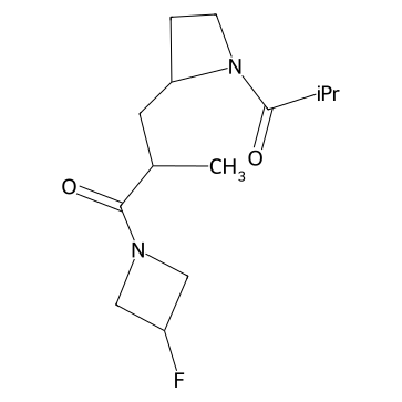 CC(C)C(=O)N1CCC1CC(C)C(=O)N1CC(F)C1